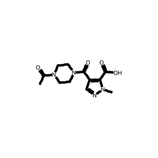 CC(=O)N1CCN(C(=O)c2cnn(C)c2C(=O)O)CC1